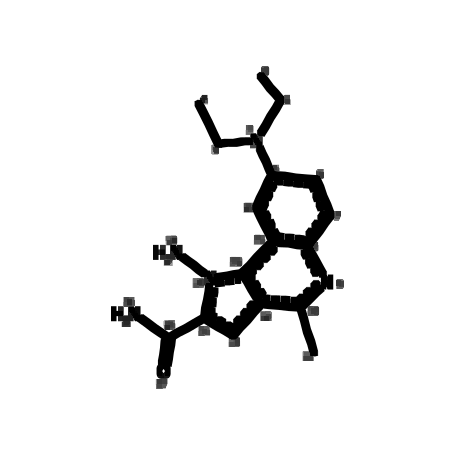 CCN(CC)c1ccc2nc(C)c3cc(C(N)=O)n(N)c3c2c1